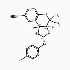 CC1(C)Oc2ccc(C#N)cc2[C@H]2N[C@@H](Nc3ccc(Cl)cc3)O[C@@H]21